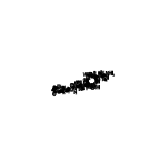 Nc1ncnc2c1ncn2[C@@H]1O[C@@H]2CO[P@@](=O)(S)O[C@H]3[C@@H](F)[C@H](n4cnc5c(NC(=O)OCCn6cc(CN7C(=O)C=CC7=O)nn6)ncnc54)O[C@@H]3CO[P@@](=O)(S)O[C@H]2[C@H]1F